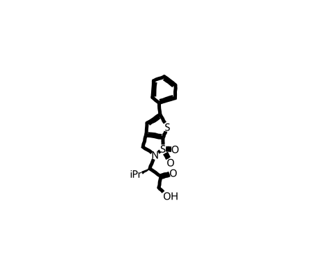 CC(C)[C@H](C(=O)CO)N1Cc2cc(-c3ccccc3)sc2S1(=O)=O